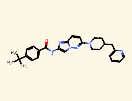 CC(C)(C)c1ccc(C(=O)Nc2cn3nc(N4CCC(Cc5ccccn5)CC4)ccc3n2)cc1